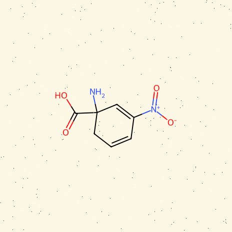 NC1(C(=O)O)C=C([N+](=O)[O-])C=CC1